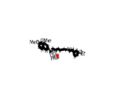 CCCN(CCCCCCNCCc1cccc(OCC)c1)[C@H]1CCc2c(ccc(OC)c2OC)C1.Cl.Cl